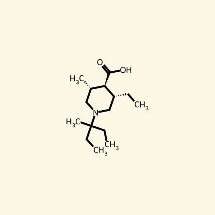 CC[C@@H]1CN(C(C)(CC)CC)C[C@H](C)[C@H]1C(=O)O